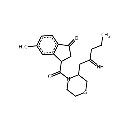 CCCC(=N)CC1CSCCN1C(=O)C1CC(=O)c2ccc(C)cc21